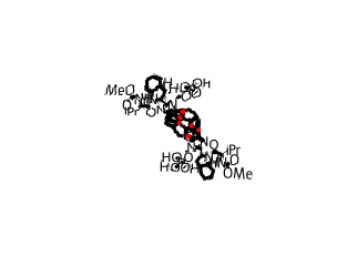 COC(=O)N[C@H](C(=O)N1[C@H](c2nc3ccc(-c4cc5ccc4CCc4ccc(c(-c6ccc7nc([C@@H]8C[C@@H]9CCCC[C@@H]9N8C(=O)[C@@H](NC(=O)OC)C(C)C)n(COP(=O)(O)O)c7c6)c4)CC5)cc3n2COP(=O)(O)O)C[C@@H]2CCCC[C@@H]21)C(C)C